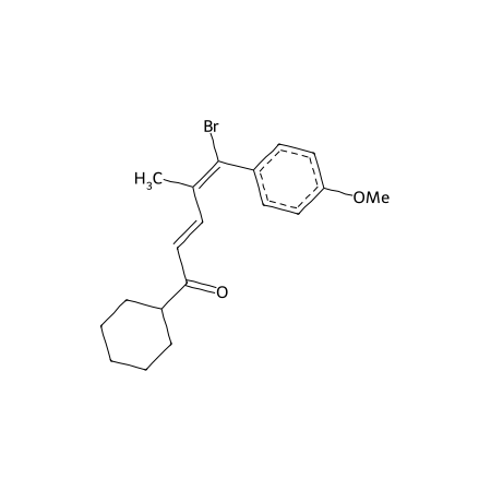 COc1ccc(/C(Br)=C(C)\C=C\C(=O)C2CCCCC2)cc1